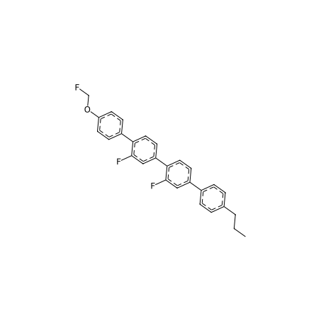 CCCc1ccc(-c2ccc(-c3ccc(-c4ccc(OCF)cc4)c(F)c3)c(F)c2)cc1